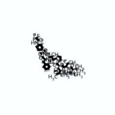 CC[C@@H](C)[C@@H]([C@@H](CC(=O)N1CCC[C@H]1[C@H](OC)[C@@H](C)C(=O)N[C@@H](Cc1ccccc1)C(=O)NS(=O)(=O)c1ccc(NC(=O)C(F)(F)F)cc1)OC)N(C)C(=O)[C@@H](NC(=O)[C@H](C(C)C)N(C)C)C(C)C